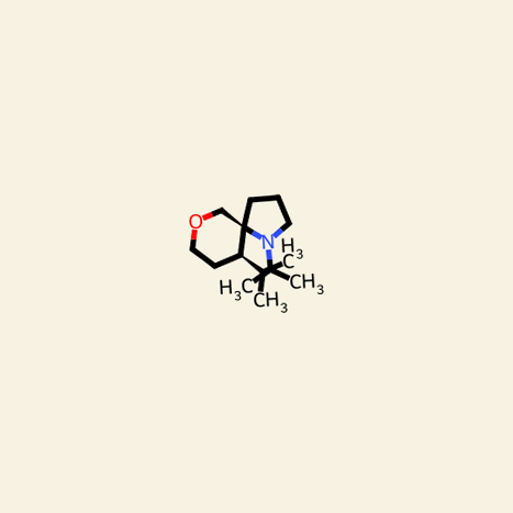 CC(C)[C@H]1CCOC[C@]12CCCN2C(C)C